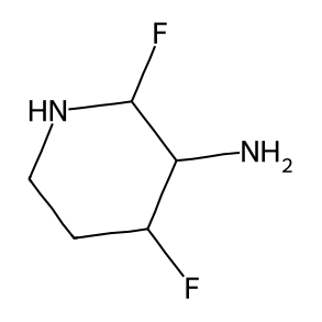 NC1C(F)CCNC1F